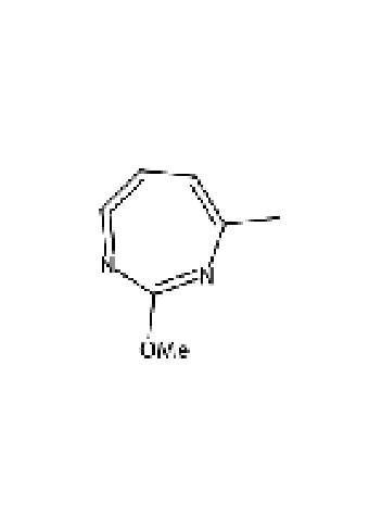 COC1=NC(C)=CC=C=N1